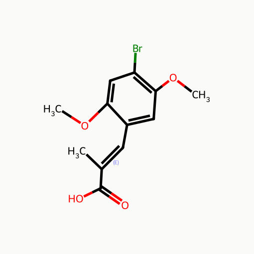 COc1cc(/C=C(\C)C(=O)O)c(OC)cc1Br